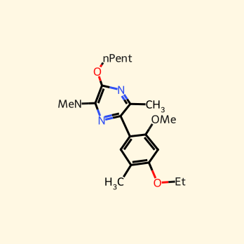 CCCCCOc1nc(C)c(-c2cc(C)c(OCC)cc2OC)nc1NC